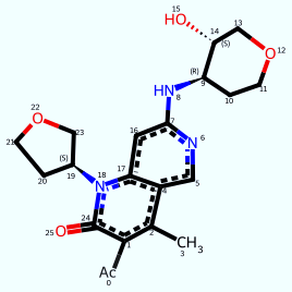 CC(=O)c1c(C)c2cnc(N[C@@H]3CCOC[C@H]3O)cc2n([C@H]2CCOC2)c1=O